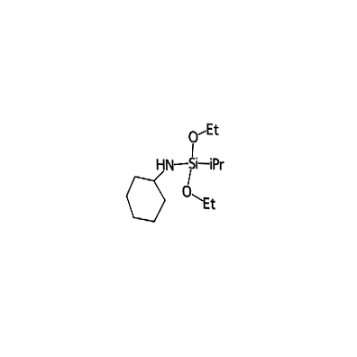 CCO[Si](NC1CCCCC1)(OCC)C(C)C